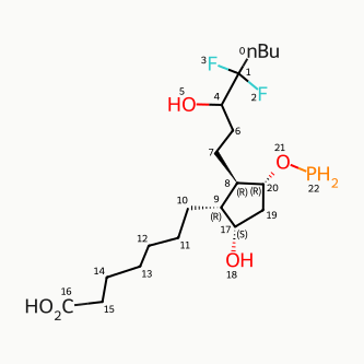 CCCCC(F)(F)C(O)CC[C@@H]1[C@@H](CCCCCCC(=O)O)[C@@H](O)C[C@H]1OP